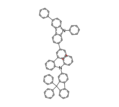 c1ccc(-c2ccc3c(c2)c2ccc(-c4cccc(-c5ccccc5N(c5ccccc5)c5ccc6c(c5)C(c5ccccc5)(c5ccccc5)c5ccccc5-6)c4)cc2n3-c2ccccc2)cc1